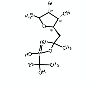 BC1O[C@H](CC(C)(CC)OP(=O)(O)C(C)(O)CC)[C@@H](O)[C@H]1Br